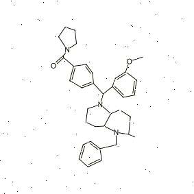 COc1cccc(C(c2ccc(C(=O)N3CCCC3)cc2)N2CCCC3C2CCC(C)N3Cc2ccccc2)c1